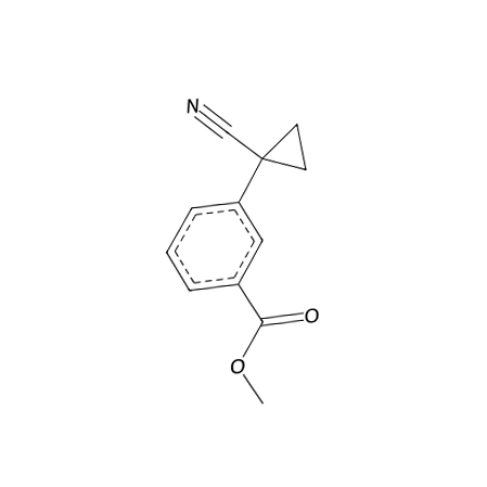 COC(=O)c1cccc(C2(C#N)CC2)c1